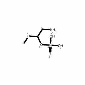 COC(CN)OP(=O)(O)O